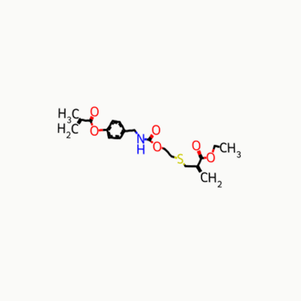 C=C(C)C(=O)Oc1ccc(CNC(=O)OCCSCC(=C)C(=O)OCC)cc1